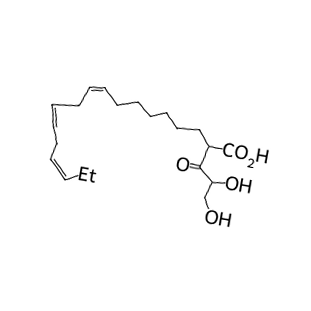 CC/C=C\C/C=C\C/C=C\CCCCCCC(C(=O)O)C(=O)C(O)CO